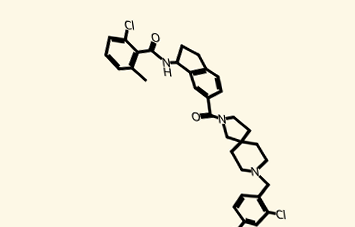 Cc1cccc(Cl)c1C(=O)NC1CCc2ccc(C(=O)N3CCC4(CCN(Cc5ccc(F)cc5Cl)CC4)C3)cc21